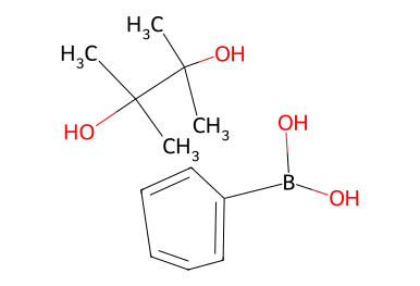 CC(C)(O)C(C)(C)O.OB(O)c1ccccc1